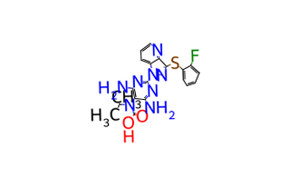 CC(C)N(C(=O)O)c1c(N)nc(-n2nc(Sc3ccccc3F)c3ncccc32)nc1N